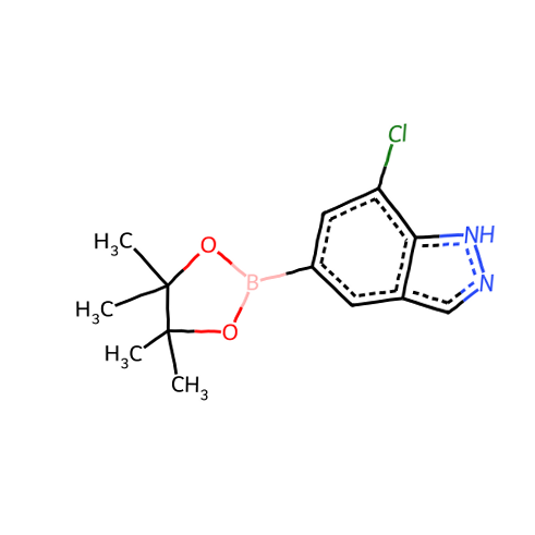 CC1(C)OB(c2cc(Cl)c3[nH]ncc3c2)OC1(C)C